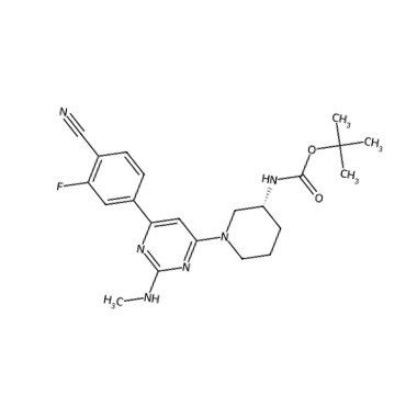 CNc1nc(-c2ccc(C#N)c(F)c2)cc(N2CCC[C@@H](NC(=O)OC(C)(C)C)C2)n1